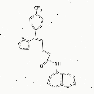 O=C(C=CC=C(c1ccc(C(F)(F)F)cc1)c1cccs1)Nc1cccc2cnccc12